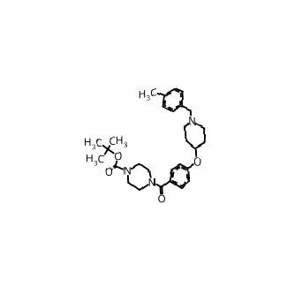 Cc1ccc(CN2CCC(Oc3ccc(C(=O)N4CCN(C(=O)OC(C)(C)C)CC4)cc3)CC2)cc1